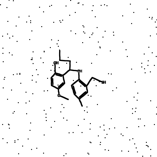 CCCC(Pc1ccc(C)cc1CS)c1cc(OC)ccc1O